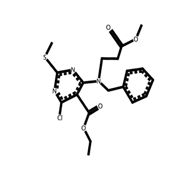 CCOC(=O)c1c(Cl)nc(SC)nc1N(CCC(=O)OC)Cc1ccccc1